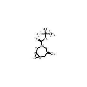 CC(C)(C)OC(=O)N1CC(=O)CC2OC2C1